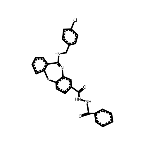 O=C(NNC(=O)c1ccc2c(c1)N=C(NCc1ccc(Cl)cc1)c1ccccc1S2)c1ccccc1